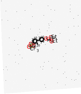 CCOC(COc1ccc(-c2cccc(OS(=O)(=O)C(F)(F)F)c2C)cc1)OCC